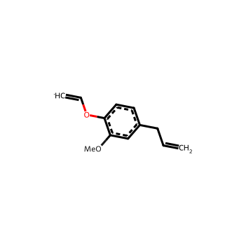 [CH]=COc1ccc(CC=C)cc1OC